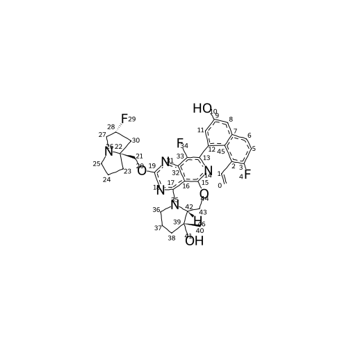 C=Cc1c(F)ccc2cc(O)cc(-c3nc4c5c(nc(OC[C@@]67CCCN6C[C@H](F)C7)nc5c3F)N3CCC[C@@](C)(O)[C@H]3CO4)c12